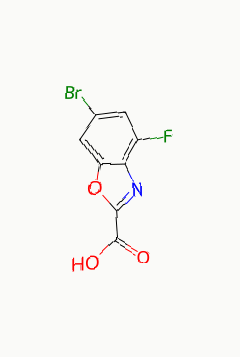 O=C(O)c1nc2c(F)cc(Br)cc2o1